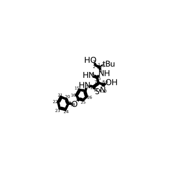 CC(C)(C)[C@H](CO)NC(=N)c1c(O)nsc1Nc1ccc(Oc2ccccc2)cc1